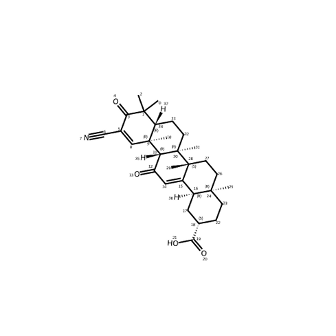 CC1(C)C(=O)C(C#N)=C[C@]2(C)[C@H]3C(=O)C=C4[C@@H]5C[C@@H](C(=O)O)CC[C@]5(C)CC[C@@]4(C)[C@]3(C)CC[C@@H]12